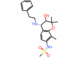 Cc1c(NS(C)(=O)=O)ccc2c1OC(C)(C)[C@H](O)[C@H]2NCCc1ccccc1